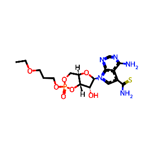 CCOCCCOP1(=O)OC[C@H]2O[C@@H](n3cc(C(N)=S)c4c(N)ncnc43)[C@H](O)[C@@H]2O1